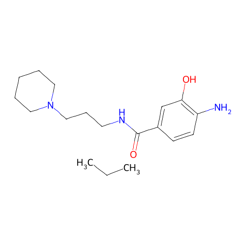 CCC.Nc1ccc(C(=O)NCCCN2CCCCC2)cc1O